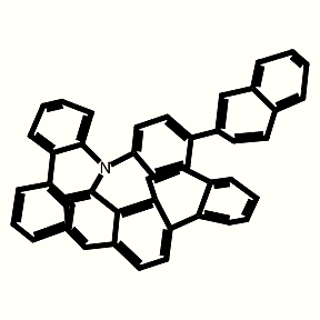 c1ccc(-c2ccccc2N(c2ccc(-c3ccc4ccccc4c3)cc2)c2cccc3ccc4c5ccccc5ccc4c23)cc1